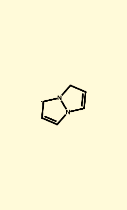 [CH]1C=CN2C=CCN12